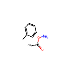 CCCC(=O)ON.Cc1ccccc1